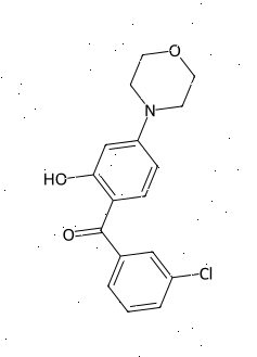 O=C(c1cccc(Cl)c1)c1ccc(N2CCOCC2)cc1O